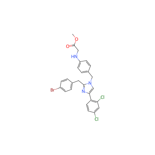 COC(=O)CNc1ccc(Cn2cc(-c3ccc(Cl)cc3Cl)nc2Cc2ccc(Br)cc2)cc1